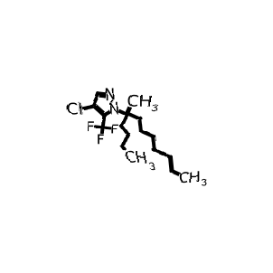 CCCCCCCC(C)(CCCC)n1ncc(Cl)c1C(F)(F)F